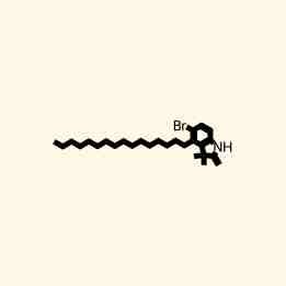 C=C1Nc2ccc(Br)c(CCCCCCCCCCCCCCCC)c2C1(C)C